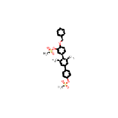 Cc1cc(-c2ccc(OS(C)(=O)=O)cc2)cc(C)c1-c1ccc(OCc2ccccc2)c(OS(C)(=O)=O)c1